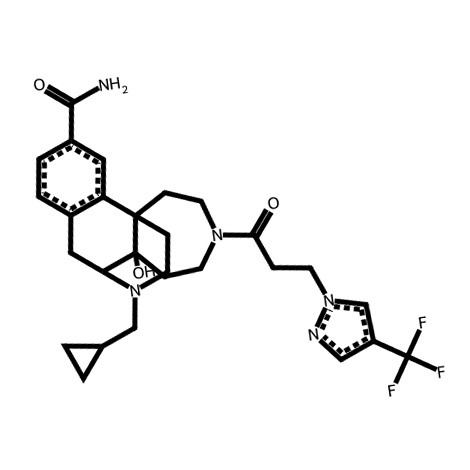 NC(=O)c1ccc2c(c1)C13CCN(C(=O)CCn4cc(C(F)(F)F)cn4)CCC1(O)C(C2)N(CC1CC1)CC3